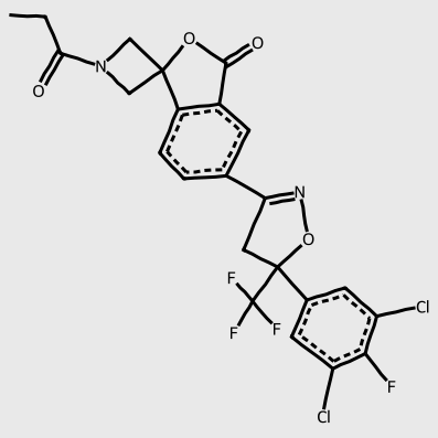 CCC(=O)N1CC2(C1)OC(=O)c1cc(C3=NOC(c4cc(Cl)c(F)c(Cl)c4)(C(F)(F)F)C3)ccc12